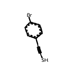 SC#Cc1ccc(Br)cc1